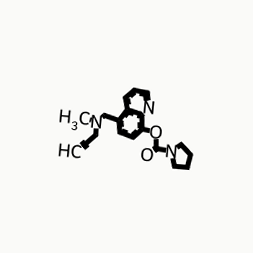 C#CCN(C)Cc1ccc(OC(=O)N2CCCC2)c2ncccc12